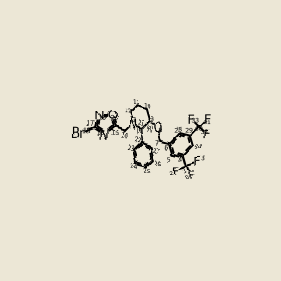 FC(F)(F)c1cc(CO[C@@H]2CCCN(Cc3nc(Br)no3)[C@@H]2c2ccccc2)cc(C(F)(F)F)c1